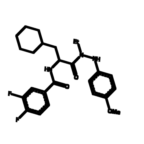 CCN(Nc1ccc(OC)cc1)C(=O)C(CC1CCCCC1)NC(=O)c1ccc(F)c(F)c1